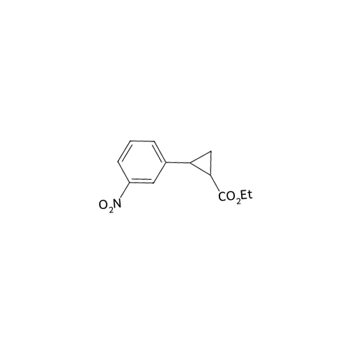 CCOC(=O)C1CC1c1cccc([N+](=O)[O-])c1